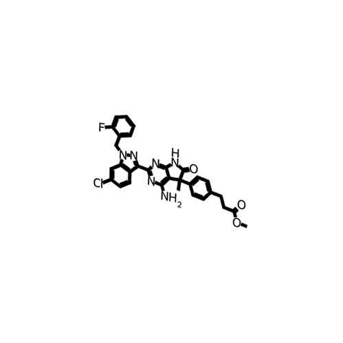 COC(=O)CCc1ccc(C2(C)C(=O)Nc3nc(-c4nn(Cc5ccccc5F)c5cc(Cl)ccc45)nc(N)c32)cc1